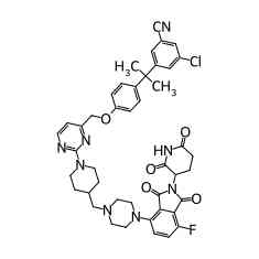 CC(C)(c1ccc(OCc2ccnc(N3CCC(CN4CCN(c5ccc(F)c6c5C(=O)N(C5CCC(=O)NC5=O)C6=O)CC4)CC3)n2)cc1)c1cc(Cl)cc(C#N)c1